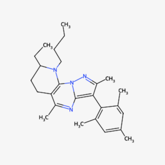 CCCCN1c2c(c(C)nc3c(-c4c(C)cc(C)cc4C)c(C)nn23)CCC1CC